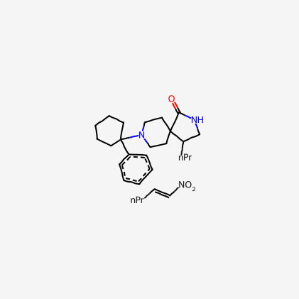 CCCC1CNC(=O)C12CCN(C1(c3ccccc3)CCCCC1)CC2.CCCC=C[N+](=O)[O-]